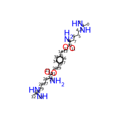 CC(=N)NCCCCC(N)C(=O)OCCc1ccc(CCOC(=O)C(N)CCCCNC(C)=N)cc1